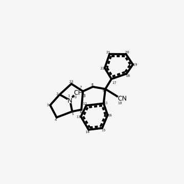 CN1C2CCC1CC(CC(C#N)(c1ccccc1)c1ccccc1)C2